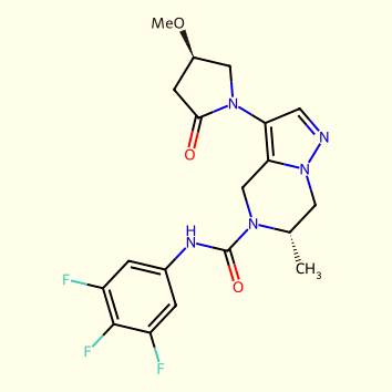 CO[C@@H]1CC(=O)N(c2cnn3c2CN(C(=O)Nc2cc(F)c(F)c(F)c2)[C@@H](C)C3)C1